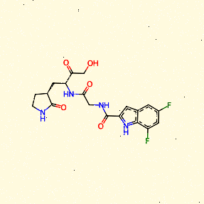 O=C(CNC(=O)c1cc2cc(F)cc(F)c2[nH]1)NC(C[C@@H]1CCNC1=O)C(=O)CO